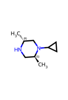 C[C@@H]1CN(C2CC2)[C@@H](C)CN1